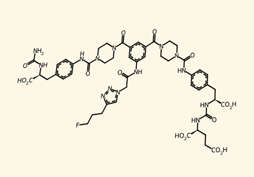 NC(=O)N[C@@H](Cc1ccc(NC(=O)N2CCN(C(=O)c3cc(NC(=O)Cn4cc(CCCF)nn4)cc(C(=O)N4CCN(C(=O)Nc5ccc(C[C@H](NC(=O)N[C@@H](CCC(=O)O)C(=O)O)C(=O)O)cc5)CC4)c3)CC2)cc1)C(=O)O